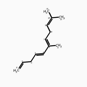 C=CCC=CC(C)=CCC=C(C)C